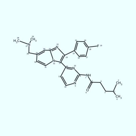 CC(C)CCC(=O)Nc1nccc(-c2c(-c3ccc(F)cc3)nc3cc(CN(C)C)ccn23)n1